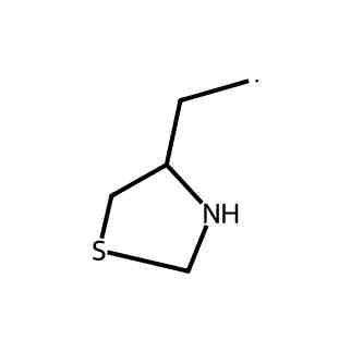 [CH2]CC1CSCN1